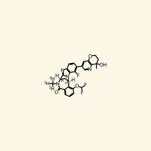 [2H]C([2H])([2H])N1C(=O)c2cccc(OC(F)F)c2[C@H]2C[C@@H]1c1nc3ccc(-c4cnc5c(c4)OCCC5(C)O)c(F)c3n12